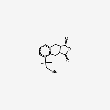 CCC(C)CC(C)(C)c1cccc2c1CC1C(=O)OC(=O)C1C2